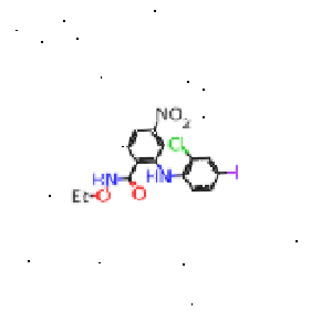 CCONC(=O)c1ccc([N+](=O)[O-])cc1Nc1ccc(I)cc1Cl